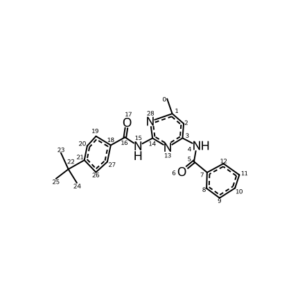 Cc1cc(NC(=O)c2ccccc2)nc(NC(=O)c2ccc(C(C)(C)C)cc2)n1